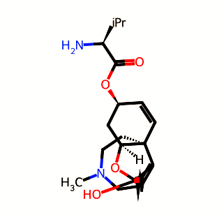 CC(C)[C@H](N)C(=O)O[C@H]1C=C[C@@]23CCN(C)Cc4ccc(O)c(c42)O[C@H]3C1